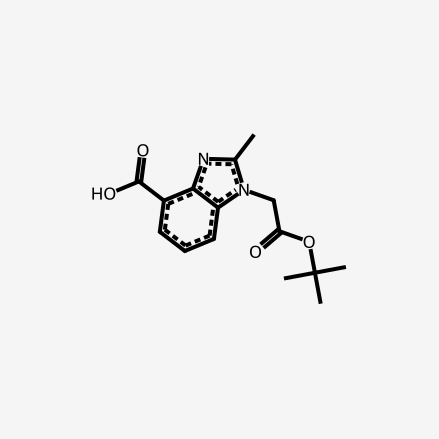 Cc1nc2c(C(=O)O)cccc2n1CC(=O)OC(C)(C)C